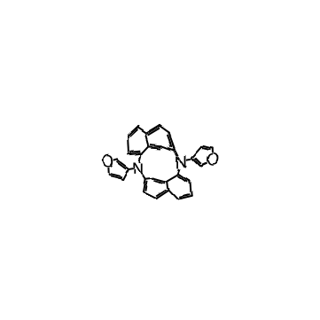 c1cc2ccc3cc2c(c1)n(-c1ccoc1)c1ccc2cccc(c2c1)n3-c1ccoc1